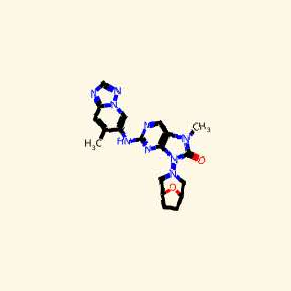 Cc1cc2ncnn2cc1Nc1ncc2c(n1)n(N1CC3CCC(C1)O3)c(=O)n2C